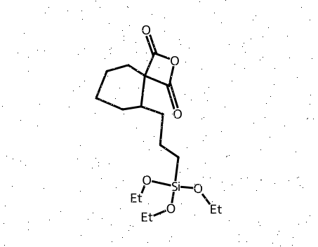 CCO[Si](CCCC1CCCCC12C(=O)OC2=O)(OCC)OCC